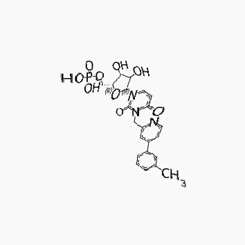 Cc1cccc(-c2ccnc(Cn3c(=O)ccn([C@@H]4O[C@H](COP(=O)(O)O)C(O)C4O)c3=O)c2)c1